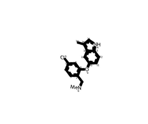 CNCc1ccc(Cl)cc1Oc1ccc2[nH]cc(C)c2c1